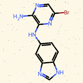 Nc1ncc(Br)nc1Nc1ccc2[nH]cnc2c1